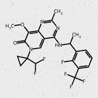 COc1c(=O)n(C2(C(F)F)CC2)cc2c(NC(C)c3cccc(C(F)(F)F)c3F)nc(C)nc12